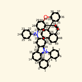 c1ccc(-c2ccccc2-n2c3ccccc3c3cc(N(c4ccccc4)c4ccc5c(c4)C4(c6ccccc6O5)c5ccccc5-c5cccc6cccc4c56)ccc32)cc1